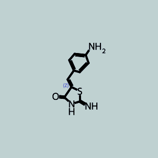 N=C1NC(=O)/C(=C/c2ccc(N)cc2)S1